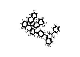 c1ccc(-c2nc(-c3ccc(-c4ccc5c(c4)C(c4ccc6ccccc6c4)(c4ccc6ccccc6c4)c4ccccc4O5)cc3)c3ccccc3n2)cc1